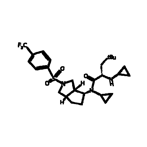 CC(C)(C)C[C@H](NC1CC1)C(=O)N(C1CC1)[C@H]1CC[C@@H]2CN(S(=O)(=O)c3ccc(C(F)(F)F)cc3)C[C@@H]21